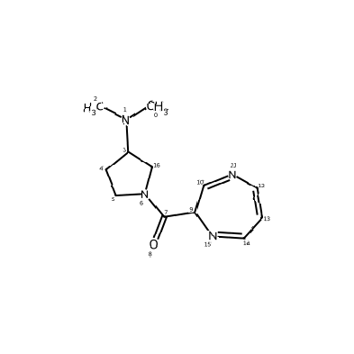 CN(C)C1CCN(C(=O)C2C=NC=CC=N2)C1